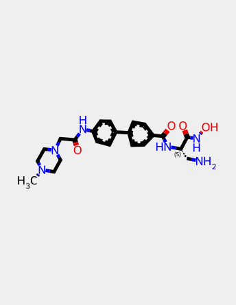 CN1CCN(CC(=O)Nc2ccc(-c3ccc(C(=O)N[C@@H](CN)C(=O)NO)cc3)cc2)CC1